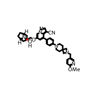 COc1ccc(CN2CC3(CCN(c4ccc(-c5cc(OCCN6[C@@H]7CC[C@H]6C[C@@H](O)C7)cn6ncc(C#N)c56)cc4)CC3)C2)cn1